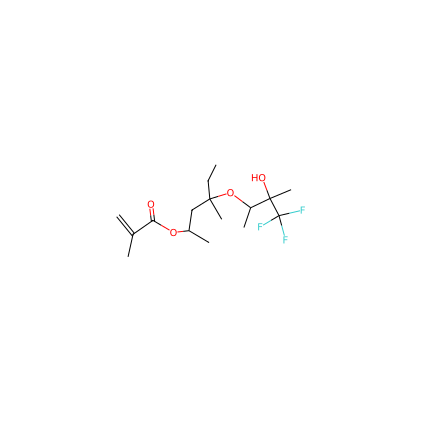 C=C(C)C(=O)OC(C)CC(C)(CC)OC(C)C(C)(O)C(F)(F)F